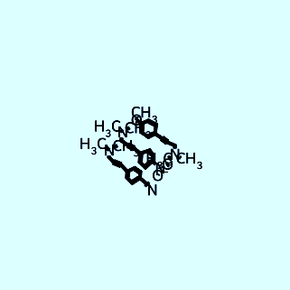 CN(C)CC#Cc1ccc(C#N)cc1.CN(C)CC#Cc1ccc([N+](=O)[O-])cc1.COc1ccc(C#CCN(C)C)cc1